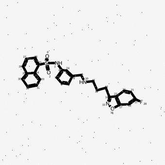 O=S(=O)(Nc1cccc(CNCCCc2noc3cc(F)ccc23)c1)c1cccc2ccccc12